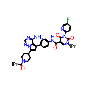 CC(C)C(=O)N1CCC(c2cc(-c3ccc(NC(=O)c4cn(C(C)C)c(=O)n(-c5ccc(F)cn5)c4=O)cc3)c3c(N)ncnn23)CC1